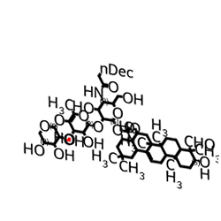 CCCCCCCCCCCC(=O)N[C@H]1C(CO)O[C@@H](OC(=O)[C@]23CCC(C)(C)CC2C2=CCC4C5(C)CC[C@H](O)C(C)(C=O)C5CCC4(C)C2(C)CC3O)C(O[C@@H]2OC(C)=C(O[C@@H]3OC[C@@H](O)C(O)C3O)C(O)C2O)C1O